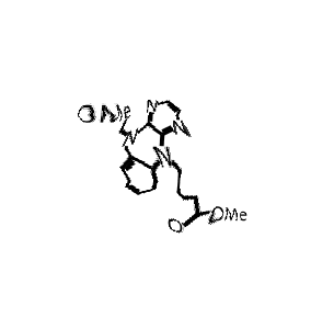 COCN1c2ccccc2N(CCCC(=O)OC)c2nccnc21